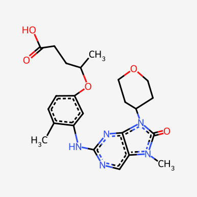 Cc1ccc(OC(C)CCC(=O)O)cc1Nc1ncc2c(n1)n(C1CCOCC1)c(=O)n2C